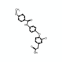 COc1ccc(C(=O)Nc2ccc(Oc3ccc(CC(=O)O)cc3Cl)cc2)cc1